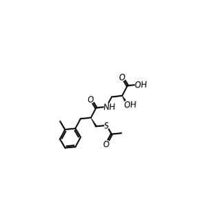 CC(=O)SC[C@@H](Cc1ccccc1C)C(=O)NC[C@H](O)C(=O)O